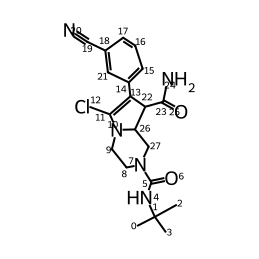 CC(C)(C)NC(=O)N1CCN2C(Cl)=C(c3cccc(C#N)c3)C(C(N)=O)C2C1